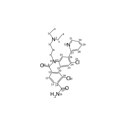 CCN(CC)CCCN(C(=O)c1ccc(C(N)=O)c(Cl)c1)c1ccc(Cl)c(-c2ccccn2)c1